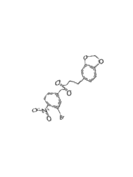 O=[N+]([O-])c1ccc(S(=O)(=O)CCc2ccc3c(c2)OCO3)cc1Br